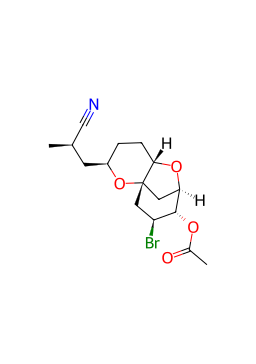 CC(=O)O[C@@H]1[C@@H](Br)C[C@]23C[C@H]1O[C@H]2CC[C@H](C[C@@H](C)C#N)O3